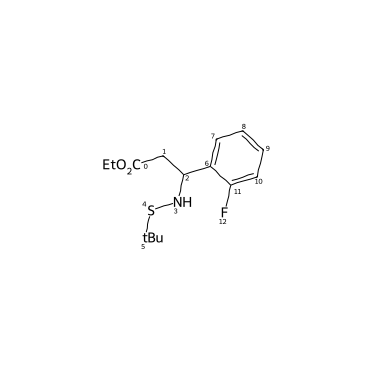 CCOC(=O)CC(NSC(C)(C)C)c1ccccc1F